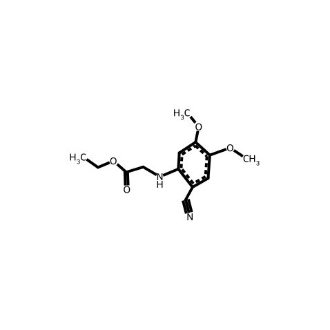 CCOC(=O)CNc1cc(OC)c(OC)cc1C#N